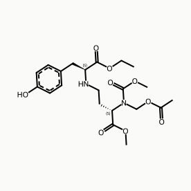 CCOC(=O)[C@H](Cc1ccc(O)cc1)NCC[C@@H](C(=O)OC)N(COC(C)=O)C(=O)OC